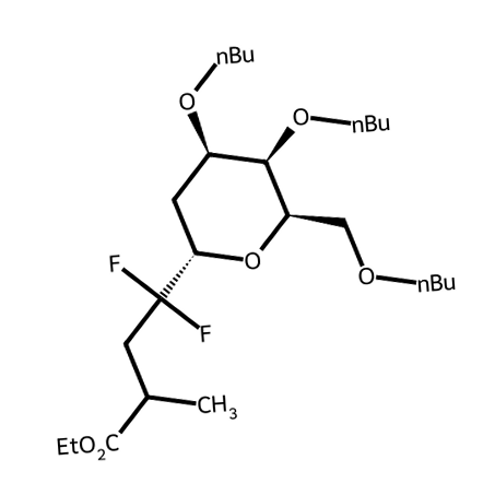 CCCCOC[C@H]1O[C@H](C(F)(F)CC(C)C(=O)OCC)C[C@@H](OCCCC)[C@H]1OCCCC